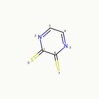 S=C1N=CC=NC1=S